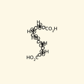 O=C(O)c1ccc(S(=O)(=O)Nc2ccc(S(=O)(=O)Nc3cccc(OBOc4cccc(NS(=O)(=O)c5ccc(NS(=O)(=O)c6ccc(C(=O)O)cc6)cc5)c4)c3)cc2)cc1